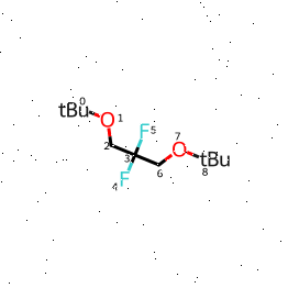 CC(C)(C)OCC(F)(F)COC(C)(C)C